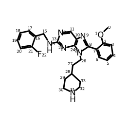 COc1ccccc1-c1nc2cnc(NCc3ccccc3F)nc2n1CCC1CCNCC1